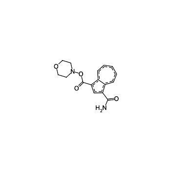 NC(=O)c1cc(C(=O)ON2CCOCC2)c2cccccc1-2